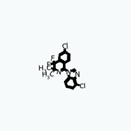 CC1(C)N=C(n2cnc3c(Cl)cccc32)c2ccc(Cl)cc2C1(F)F